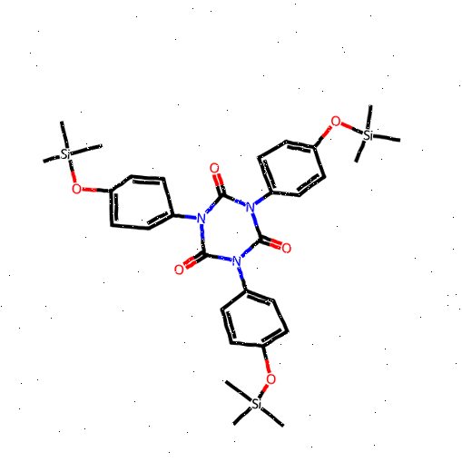 C[Si](C)(C)Oc1ccc(-n2c(=O)n(-c3ccc(O[Si](C)(C)C)cc3)c(=O)n(-c3ccc(O[Si](C)(C)C)cc3)c2=O)cc1